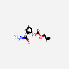 C=CCOC(=O)O[C@@H]1CCC[C@@H]1C(N)=O